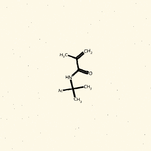 C=C(C)C(=O)NC(C)(C)C(C)=O